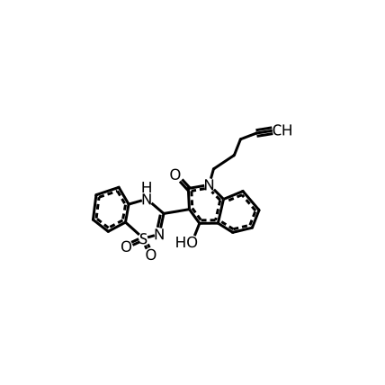 C#CCCCn1c(=O)c(C2=NS(=O)(=O)c3ccccc3N2)c(O)c2ccccc21